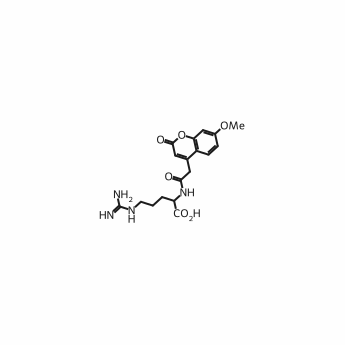 COc1ccc2c(CC(=O)NC(CCCNC(=N)N)C(=O)O)cc(=O)oc2c1